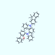 CC1(C)c2ccccc2-c2ccc(-n3c4ccccc4c4c3ccc3c5ccccc5n(-c5cccc6c5oc5ccccc56)c34)cc21